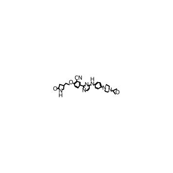 N#Cc1cc(-c2nccc(Nc3ccc(N4CCN(C5COC5)CC4)cc3)n2)ccc1OCCC1CNC(=O)C1